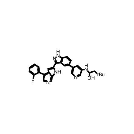 CC(C)(C)CC(O)Nc1cncc(-c2ccc3[nH]nc(-c4cc5c(-c6ccccc6F)cncc5[nH]4)c3c2)c1